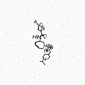 CC(C)N1CCC(CS(=O)(=O)N[C@H]2CC=CC[C@H](NC(=O)c3cc(C4CC4)on3)C2)CC1